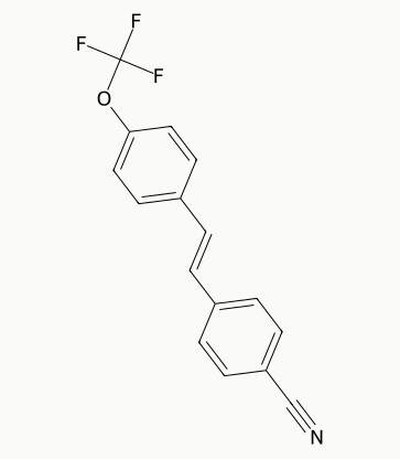 N#Cc1ccc(C=Cc2ccc(OC(F)(F)F)cc2)cc1